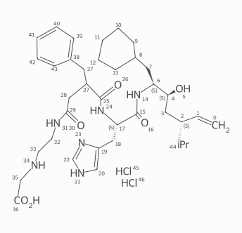 C=C[C@@H](C[C@H](O)[C@H](CC1CCCCC1)NC(=O)[C@H](Cc1c[nH]cn1)NC(=O)C(CC(=O)NCCNCC(=O)O)Cc1ccccc1)C(C)C.Cl.Cl